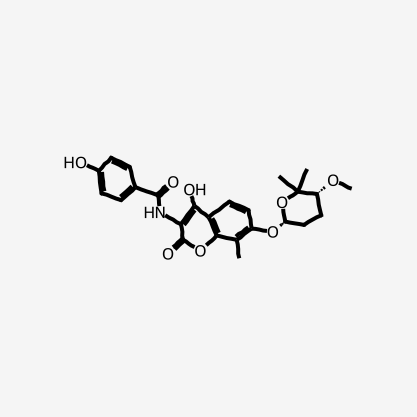 CO[C@@H]1CC[C@H](Oc2ccc3c(O)c(NC(=O)c4ccc(O)cc4)c(=O)oc3c2C)OC1(C)C